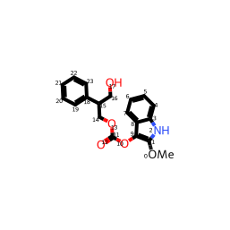 COc1[nH]c2ccccc2c1OC(=O)OCC(CO)c1ccccc1